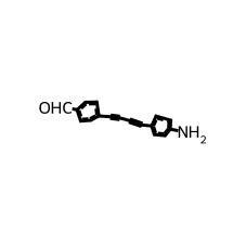 Nc1ccc(C#CC#Cc2ccc(C=O)cc2)cc1